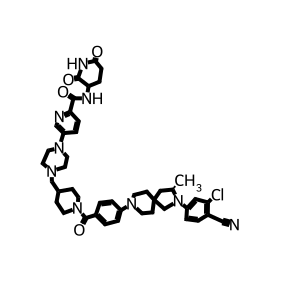 C[C@H]1CC2(CCN(c3ccc(C(=O)N4CCC(CN5CCN(c6ccc(C(=O)NC7CCC(=O)NC7=O)nc6)CC5)CC4)cc3)CC2)CN1c1ccc(C#N)c(Cl)c1